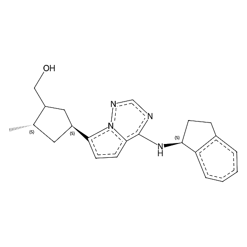 C[C@H]1C[C@H](c2ccc3c(N[C@H]4CCc5ccccc54)ncnn23)CC1CO